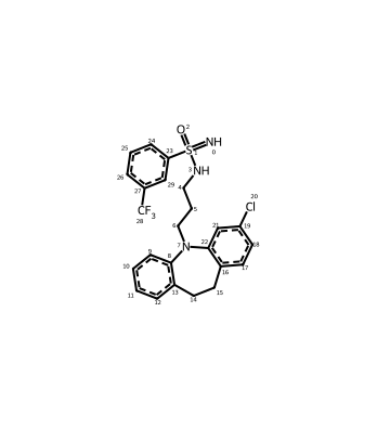 N=S(=O)(NCCCN1c2ccccc2CCc2ccc(Cl)cc21)c1cccc(C(F)(F)F)c1